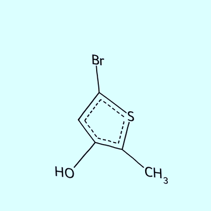 Cc1sc(Br)cc1O